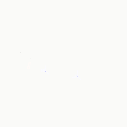 COC(=O)c1cc(Cl)ccc1Nc1ccc(C)c(N(C)Cc2ccccc2)c1